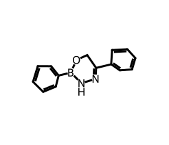 c1ccc(B2NN=C(c3ccccc3)CO2)cc1